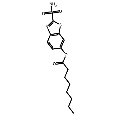 CCCCCCCC(=O)Oc1ccc2nc(S(N)(=O)=O)sc2c1